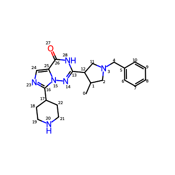 CC1CN(Cc2ccccc2)CC1c1nn2c(C3CCNCC3)ncc2c(=O)[nH]1